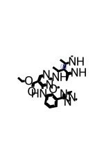 CCOC(=O)c1cnc(NC(C)/C(C(C)=N)=C(\C)NC)nc1Nc1cccc(-c2ncn(C)n2)c1OC